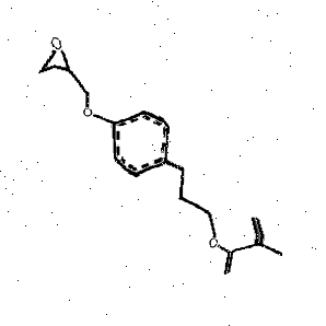 C=C(C)C(=C)OCCCc1ccc(OCC2CO2)cc1